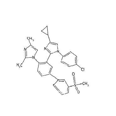 Cc1cn(-c2ccc(-c3cccc(S(C)(=O)=O)c3)cc2-c2nc(C3CC3)cn2-c2ccc(Cl)cc2)c(C)n1